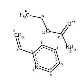 C=Cc1ccccn1.CCOC(N)=O